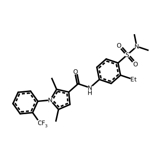 CCc1cc(NC(=O)c2cc(C)n(-c3ccccc3C(F)(F)F)c2C)ccc1S(=O)(=O)N(C)C